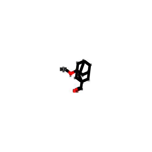 COC12CC3CC(CC([C]=O)(C3)C1)C2